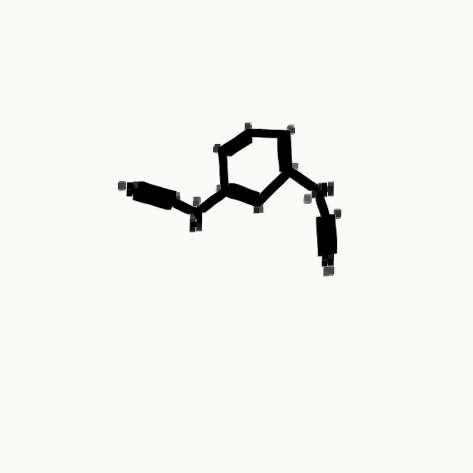 N#CNc1cccc(NC#N)c1